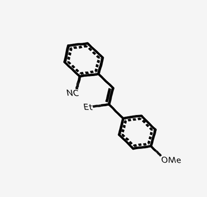 CC/C(=C\c1ccccc1C#N)c1ccc(OC)cc1